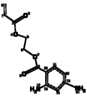 C=CC(=O)OCCOC(=O)c1ccc(N)cc1N